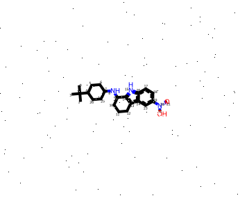 CC(C)(C)C1CCC(NC2CCCc3c2[nH]c2ccc([N+](=O)O)cc32)CC1